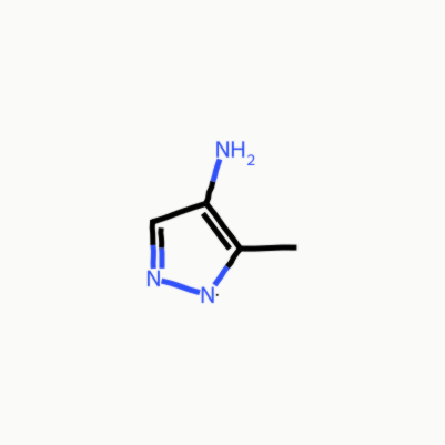 CC1=C(N)C=N[N]1